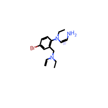 C=CN(CC)Cc1cc(Br)ccc1N(/C=C\N)CC